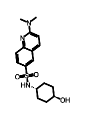 CN(C)c1ccc2cc(S(=O)(=O)N[C@H]3CC[C@H](O)CC3)ccc2n1